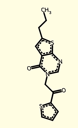 CCCc1cc2c(=O)n(CC(=O)c3cccs3)cnc2s1